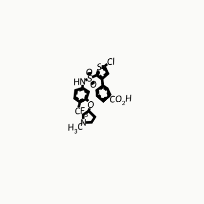 CN1CCC(Oc2cc(NS(=O)(=O)c3sc(Cl)cc3-c3cccc(C(=O)O)c3)ccc2C(F)(F)F)C1